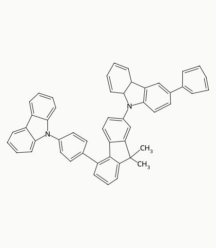 CC1(C)c2cc(N3c4ccc(-c5ccccc5)cc4C4C=CC=CC43)ccc2-c2c(-c3ccc(-n4c5ccccc5c5ccccc54)cc3)cccc21